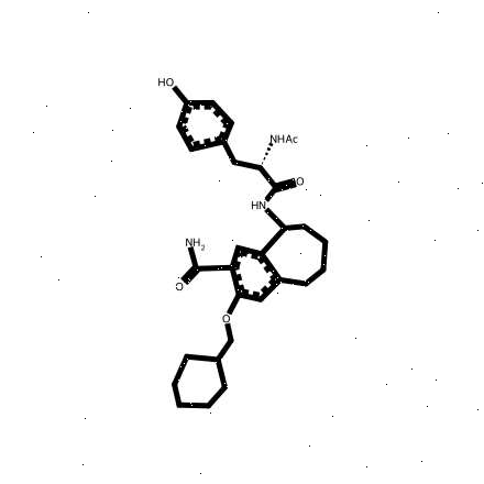 CC(=O)N[C@@H](Cc1ccc(O)cc1)C(=O)NC1CCCCc2cc(OCC3CCCCC3)c(C(N)=O)cc21